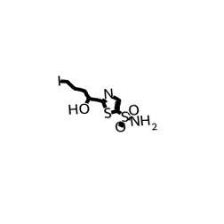 NS(=O)(=O)c1cnc(C(O)CCCI)s1